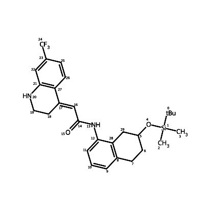 CC(C)(C)[Si](C)(C)OC1CCc2cccc(NC(=O)C=C3CCNc4cc(C(F)(F)F)ccc43)c2C1